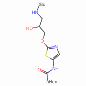 CCCCCCC(=O)Nc1cnc(OCC(O)CNC(C)(C)C)s1